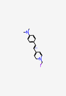 CN(C)c1ccc(/C=C/C2=CCN(CI)C=C2)cc1